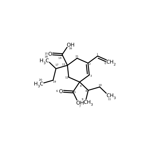 C=CC1=CC(C(=O)O)(C(C)CC)CC(C(=O)O)(C(C)CC)C1